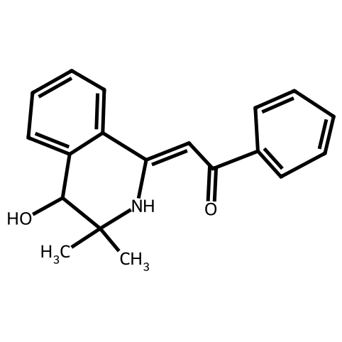 CC1(C)NC(=CC(=O)c2ccccc2)c2ccccc2C1O